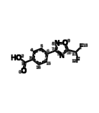 O=C(O)c1ccc(-c2noc(C(F)F)n2)cc1